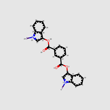 O=C(Oc1cn(I)c2ccccc12)c1cccc(C(=O)Oc2cn(I)c3ccccc23)c1